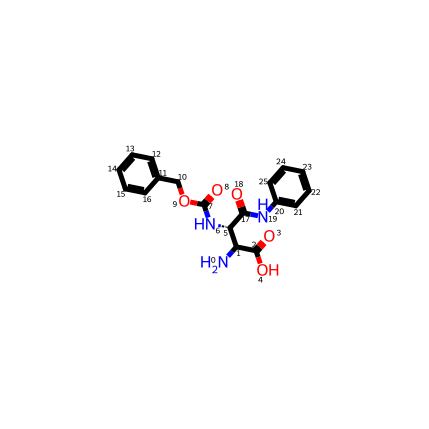 NC(C(=O)O)[C@H](NC(=O)OCc1ccccc1)C(=O)Nc1ccccc1